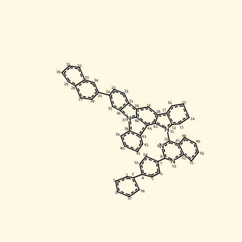 c1ccc(-c2ccc(-c3nc(-n4c5ccccc5c5cc6c7ccc(-c8ccc9ccccc9c8)cc7n7c8ccccc8c(c54)c67)c4ccccc4n3)cc2)cc1